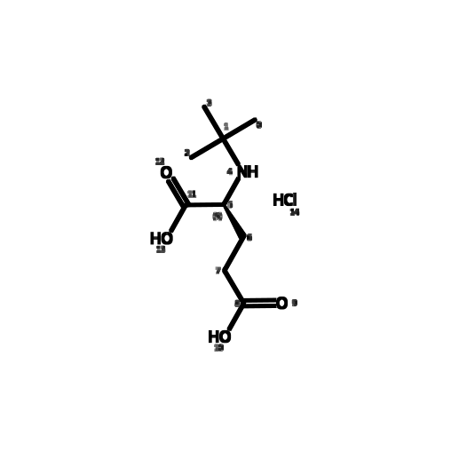 CC(C)(C)N[C@@H](CCC(=O)O)C(=O)O.Cl